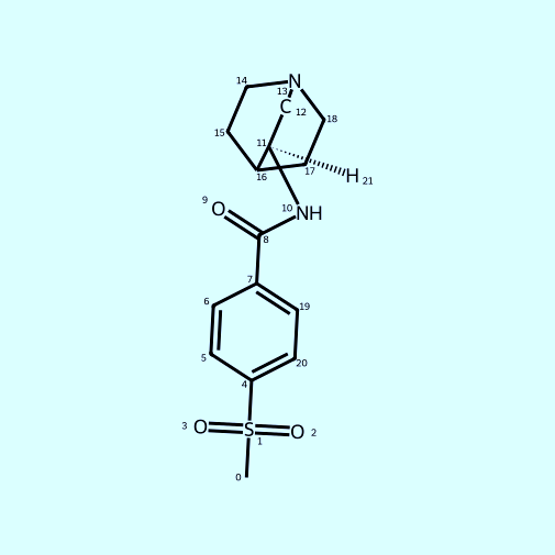 CS(=O)(=O)c1ccc(C(=O)N[C@@H]2CN3CCC2CC3)cc1